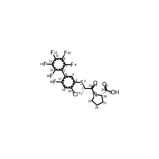 C[C@H](Sc1cc(-c2c(F)c(F)c(F)c(F)c2F)c(F)cc1Cl)C(=O)N1CCC[C@H]1C(=O)O